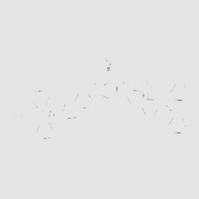 CC(C)c1ccccc1N(c1ccccc1)c1ccc2cc3c(cc2c1)oc1c(C#N)c2oc4cc5cc(N(c6ccccc6)c6ccccc6C(C)C)ccc5cc4c2cc13